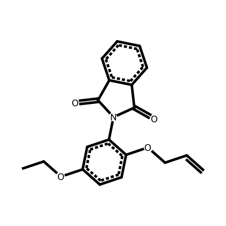 C=CCOc1ccc(OCC)cc1N1C(=O)c2ccccc2C1=O